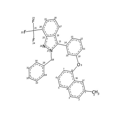 Cc1ccc2cccc(Oc3cccc(-c4c5cccc(C(F)(F)F)c5nn4Cc4ccccc4)c3)c2c1